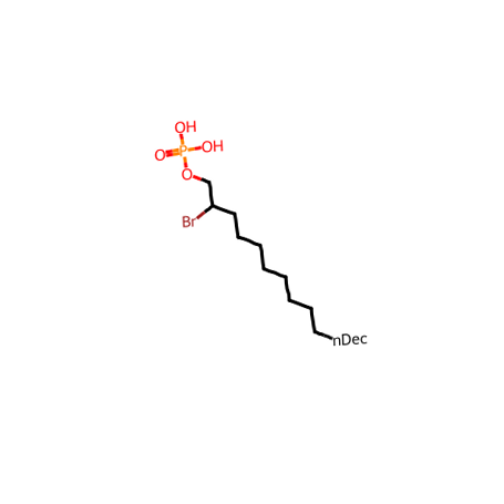 CCCCCCCCCCCCCCCCCCC(Br)COP(=O)(O)O